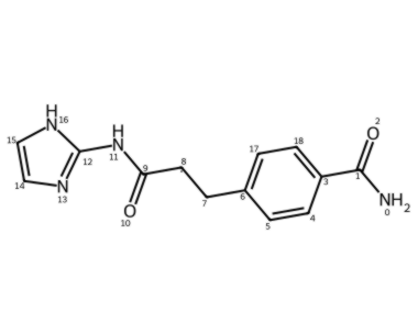 NC(=O)c1ccc(C[CH]C(=O)Nc2ncc[nH]2)cc1